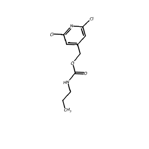 CCCNC(=O)OCc1cc(Cl)nc(Cl)c1